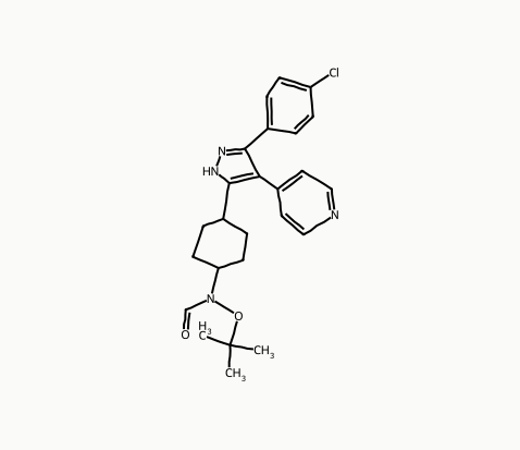 CC(C)(C)ON(C=O)C1CCC(c2[nH]nc(-c3ccc(Cl)cc3)c2-c2ccncc2)CC1